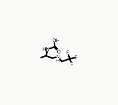 CC(CNCC(F)(F)F)NC(=O)O